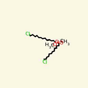 COC(CCC=CCCCCCCCCCl)OC(CCC=CCCCCCCCCCl)OC